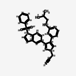 CC(O)CNc1nccc(-c2cn(CC#N)nc2-c2cnc3c(ccn3S(=O)(=O)c3ccccc3)c2)n1